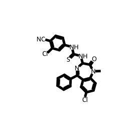 CN1C(=O)C(NC(=S)Nc2ccc(C#N)c(Cl)c2)N=C(c2ccccc2)c2cc(Cl)ccc21